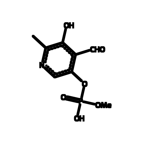 COP(=O)(O)Oc1cnc(C)c(O)c1C=O